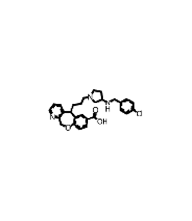 O=C(O)c1ccc2c(c1)C(CCCN1CCC(NCc3ccc(Cl)cc3)C1)c1cccnc1CO2